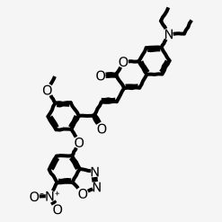 CCN(CC)c1ccc2cc(C=CC(=O)c3cc(OC)ccc3Oc3ccc([N+](=O)[O-])c4onnc34)c(=O)oc2c1